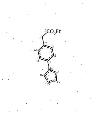 CCOC(=O)Cc1ccc(-n2ccnc2)cc1